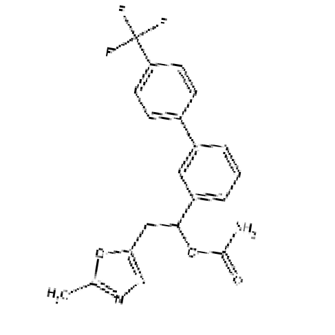 Cc1nnc(CC(OC(N)=O)c2cccc(-c3ccc(C(F)(F)F)cc3)c2)o1